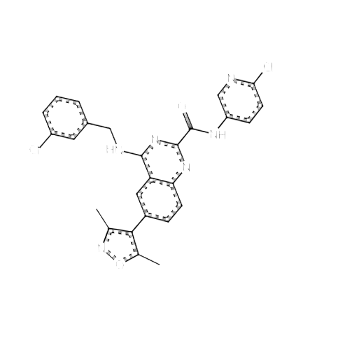 Cc1noc(C)c1-c1ccc2nc(C(=O)Nc3ccc(Cl)nc3)nc(NCc3cccc(Cl)c3)c2c1